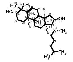 CC(C)CCC[C@@H](C)[C@H]1[C@H](O)C[C@H]2[C@@H]3CC=C4C(C)(C)[C@@H](O)CC[C@]4(C)[C@H]3CC[C@]12C